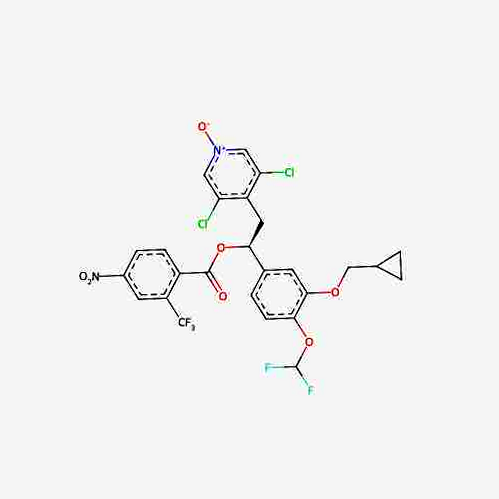 O=C(O[C@@H](Cc1c(Cl)c[n+]([O-])cc1Cl)c1ccc(OC(F)F)c(OCC2CC2)c1)c1ccc([N+](=O)[O-])cc1C(F)(F)F